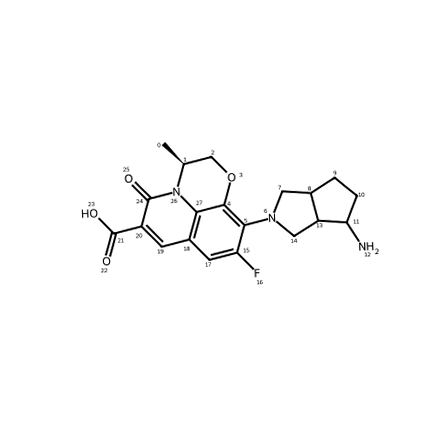 C[C@H]1COc2c(N3CC4CCC(N)C4C3)c(F)cc3cc(C(=O)O)c(=O)n1c23